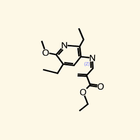 C=C(/C=N\c1cc(CC)c(OC)nc1CC)C(=O)OCC